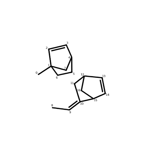 CC12C=CC(CC1)C2.CC=C1CC2C=CC1C2